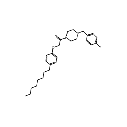 CCCCCCCCc1ccc(OCC(=O)N2CCN(Cc3ccc(F)cc3)CC2)cc1